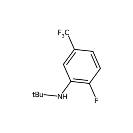 CC(C)(C)Nc1cc(C(F)(F)F)ccc1F